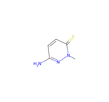 Cn1nc(N)ccc1=S